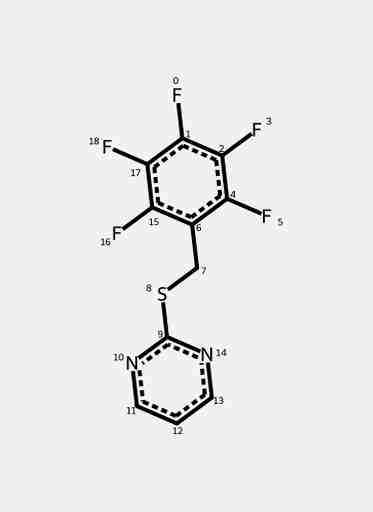 Fc1c(F)c(F)c(CSc2ncccn2)c(F)c1F